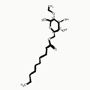 CCCCCCCCCC(=O)OC[C@H]1OC(O)[C@H](OCC)[C@@H](O)[C@@H]1O